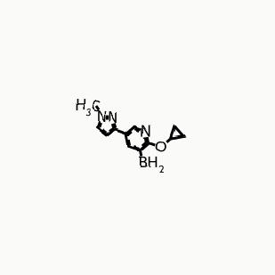 Bc1cc(-c2ccn(C)n2)cnc1OC1CC1